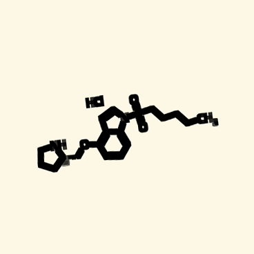 CCCCCS(=O)(=O)n1ccc2c(OC[C@@H]3CCCN3)cccc21.Cl